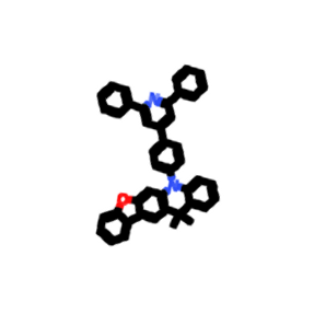 CC1(C)c2ccccc2N(c2ccc(-c3cc(-c4ccccc4)nc(-c4ccccc4)c3)cc2)c2cc3oc4ccccc4c3cc21